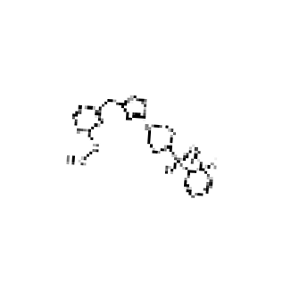 COc1cccc(Cc2csc(N3CCN(S(=O)(=O)C4C=CC=CC4(C)Cl)CC3)n2)c1